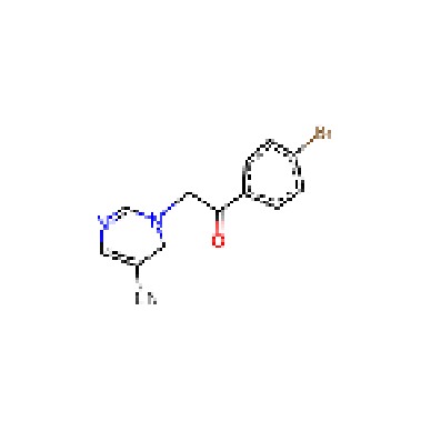 N#CC1=CN=CN(CC(=O)c2ccc(Br)cc2)C1